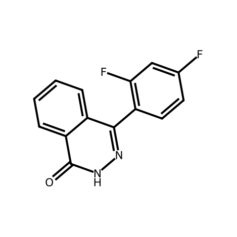 O=c1[nH]nc(-c2ccc(F)cc2F)c2ccccc12